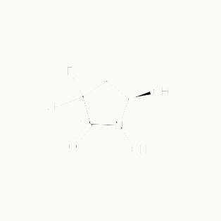 C[C@@H]1CC(F)(F)C(=O)N1C